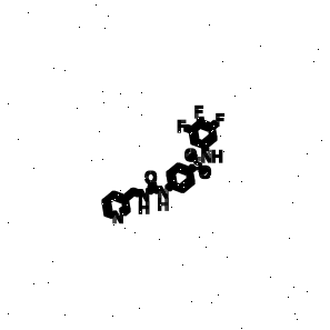 O=C(NCc1cccnc1)Nc1ccc(S(=O)(=O)Nc2cc(F)c(F)c(F)c2)cc1